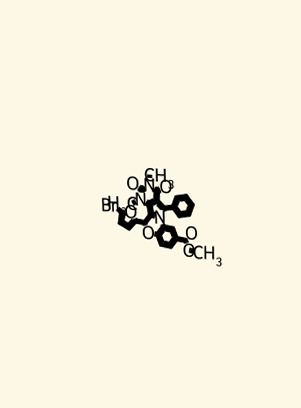 COC(=O)c1ccc2c(c1)-n1c(-c3ccccc3)c3c(=O)n(C)c(=O)n(C)c3c1C(c1ccc(Br)o1)O2